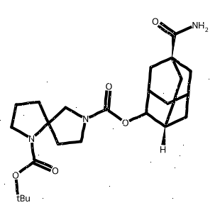 CC(C)(C)OC(=O)N1CCCC12CCN(C(=O)OC1C3CC4C[C@H]1C[C@@](C(N)=O)(C4)C3)C2